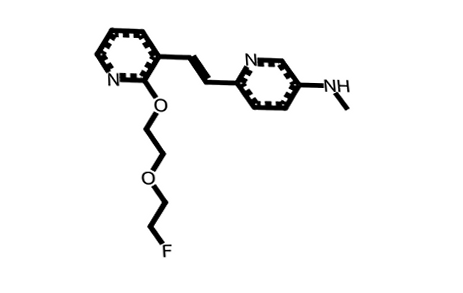 CNc1ccc(C=Cc2cccnc2OCCOCCF)nc1